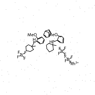 C1=CC2C=CC1C2.COc1ccccc1PC1(C)CCCCC1.COc1ccccc1PC1(C)CCCCC1.F[B-](F)(F)F.F[B-](F)(F)F.F[B-](F)(F)F.[Rh+3]